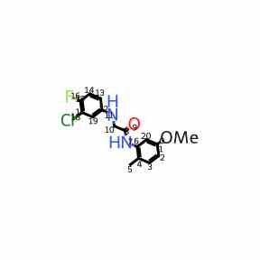 COc1ccc(C)c(NC(=O)CNc2ccc(F)c(Cl)c2)c1